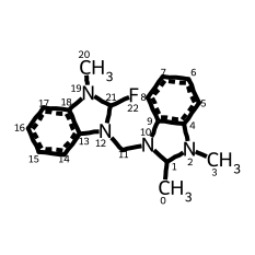 CC1N(C)c2ccccc2N1CN1c2ccccc2N(C)C1F